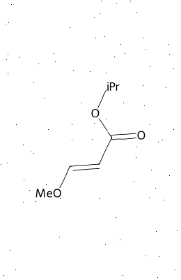 COC=CC(=O)OC(C)C